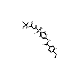 CCc1ccc(C(=O)Nc2ccc(S(=O)(=O)NCC(=O)OC(C)(C)C)cc2)cc1